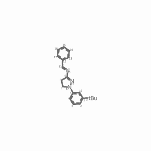 CC(C)(C)c1cccc(N2CCC(/N=C/c3ccccc3)=N2)c1